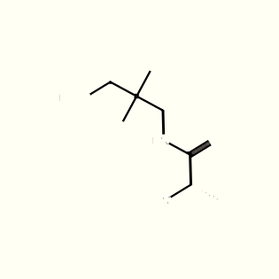 C[C@H](N)C(=O)NCC(C)(C)CC(=O)O